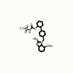 CCCCc1nc2cccc(OC)c2n1Cc1ccc(-c2ccccc2OC(=O)NS(=O)(=O)C(F)(F)F)cc1